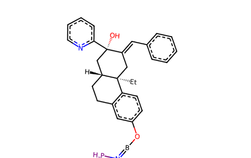 CC[C@@]12C/C(=C\c3ccccc3)[C@](O)(c3ccccn3)C[C@H]1CCc1cc(OB=NP)ccc12